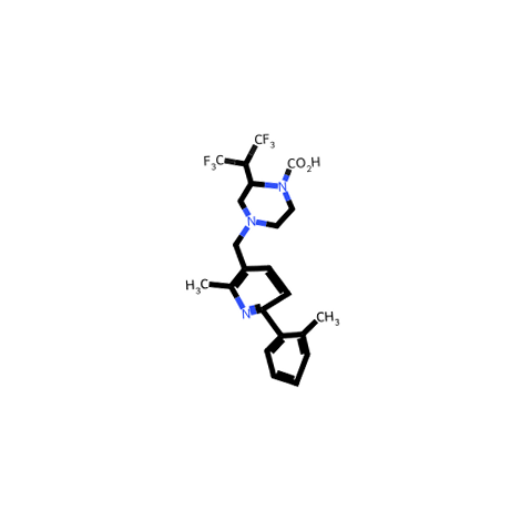 Cc1ccccc1-c1ccc(CN2CCN(C(=O)O)C(C(C(F)(F)F)C(F)(F)F)C2)c(C)n1